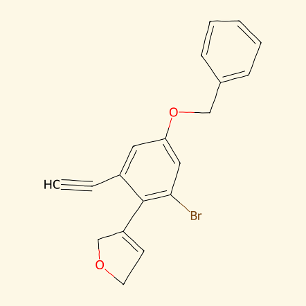 C#Cc1cc(OCc2ccccc2)cc(Br)c1C1=CCOC1